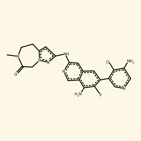 CN1CCc2cc(Nc3cc4cc(-c5cncc(N)c5Cl)c(F)c(N)c4cn3)nn2CC1=O